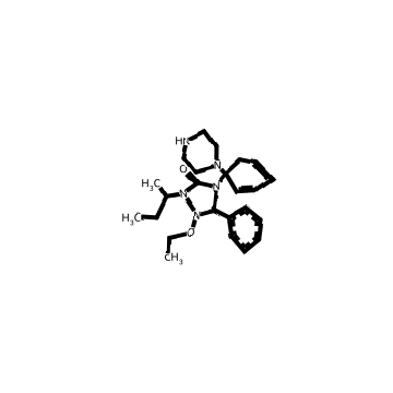 CCON1C(c2ccccc2)N(C2(N3CCNCC3)C=CC=CC2)C(=O)N1C(C)CC